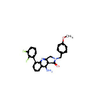 COc1ccc(CN2Cc3nc4c(-c5cccc(F)c5F)cccc4c(N)c3C2=O)cc1